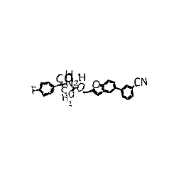 C[C@](NC(=O)OCc1cc2cc(-c3cccc(C#N)c3)ccc2o1)(C(=O)O)c1ccc(F)cc1